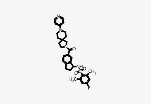 Cc1cc(F)cc(C)c1S(=O)(=O)NC1CCc2ccc(C(=O)N3CCC4(CCN(c5ccncc5)CC4)C3)cc21